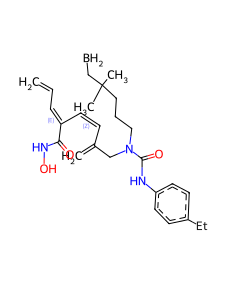 BCC(C)(C)CCCN(CC(=C)/C=C\C(=C/C=C)C(=O)NO)C(=O)Nc1ccc(CC)cc1